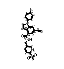 CS(=O)(=O)c1ccc(CNC(=O)c2cc(C#N)cc3c2ccn3-c2ccc(F)cc2)cn1